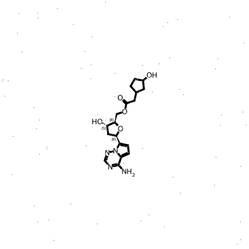 Nc1ncnn2c([C@H]3C[C@H](O)[C@@H](COC(=O)CC4CCC(O)C4)O3)ccc12